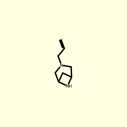 C=CCN1CC2CC(C1)N2